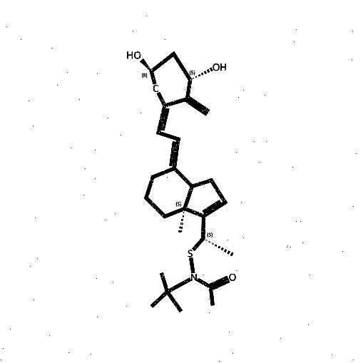 C=C1C(=CC=C2CCC[C@]3(C)C([C@H](C)SN(C(C)=O)C(C)(C)C)=CCC23)C[C@@H](O)C[C@@H]1O